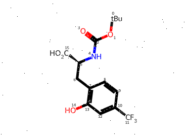 CC(C)(C)OC(=O)N[C@@H](Cc1ccc(C(F)(F)F)cc1O)C(=O)O